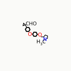 CN1CCCC1COc1ccc(Oc2ccc(C3(C=O)CC3)cc2)cc1